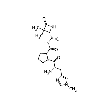 Cn1cnc(C[C@H](N)C(=O)N2CCC[C@H]2C(=O)NC(=O)[C@H]2NC(=O)C2(C)C)c1